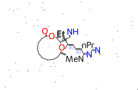 C=C1CCCCCCCCC(=O)OC(CC)C([C@@](C=N)(CC)/C(C)=C/C=C(CCC)/C(=N\C=N/C)NC)O1